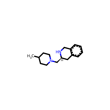 CC1CCN(C[C@@H]2Cc3ccccc3CN2)CC1